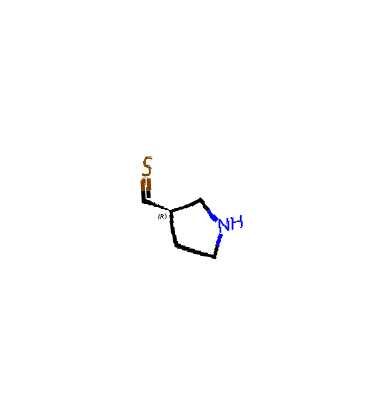 S=C[C@@H]1CCNC1